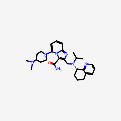 CC(C)N(Cc1nc2cccc(N3CCC(N(C)C)CC3)n2c1C(N)=O)[C@H]1CCCc2cccnc21